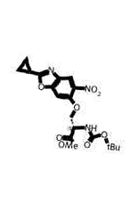 COC(=O)[C@H](COc1cc2oc(C3CC3)nc2cc1[N+](=O)[O-])NC(=O)OC(C)(C)C